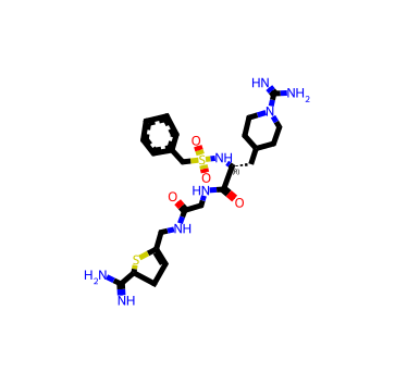 N=C(N)C1CC=C(CNC(=O)CNC(=O)[C@@H](CC2CCN(C(=N)N)CC2)NS(=O)(=O)Cc2ccccc2)S1